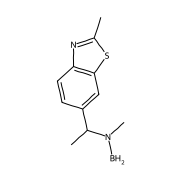 BN(C)C(C)c1ccc2nc(C)sc2c1